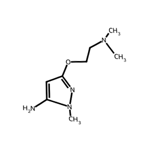 CN(C)CCOc1cc(N)n(C)n1